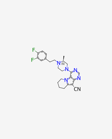 C[C@H]1CN(c2ncnc3c(C#N)c4n(c23)CCCC4)CCN1CCc1ccc(F)c(F)c1